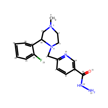 CN1CCN(Cc2ccc(C(=O)NN)cn2)C(c2ccccc2F)C1